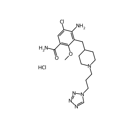 COc1c(C(N)=O)cc(Cl)c(N)c1CC1CCN(CCCn2cnnn2)CC1.Cl